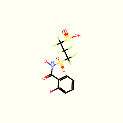 O=C(c1ccccc1I)[NH+]([O-])S(=O)(=O)C(F)(F)C(F)(F)C(F)(F)S(=O)(=O)O